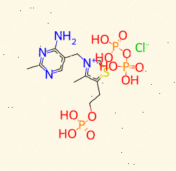 Cc1ncc(C[n+]2csc(CCOP(=O)(O)O)c2C)c(N)n1.O=P(O)(O)OP(=O)(O)O.[Cl-]